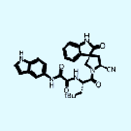 CC(C)(C)C[C@H](NC(=O)C(=O)Nc1ccc2[nH]ccc2c1)C(=O)N1C[C@]2(C[C@H]1C#N)C(=O)Nc1ccccc12